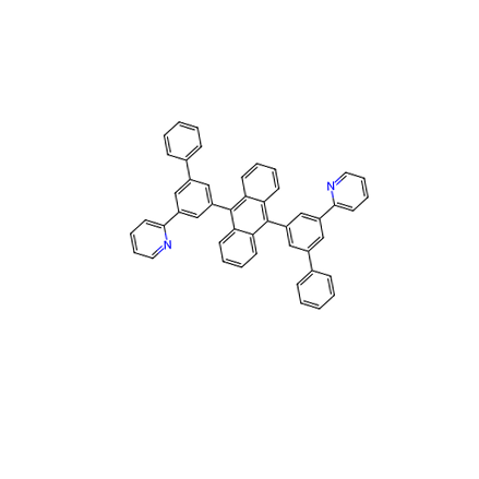 c1ccc(-c2cc(-c3ccccn3)cc(-c3c4ccccc4c(-c4cc(-c5ccccc5)cc(-c5ccccn5)c4)c4ccccc34)c2)cc1